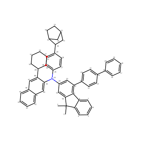 CC1(C)c2ccccc2-c2c(-c3ccc(-c4ccccc4)cc3)cc(N(c3ccc(C4CC5CCC4C5)cc3)c3cc4ccccc4cc3C3CCCCC3)cc21